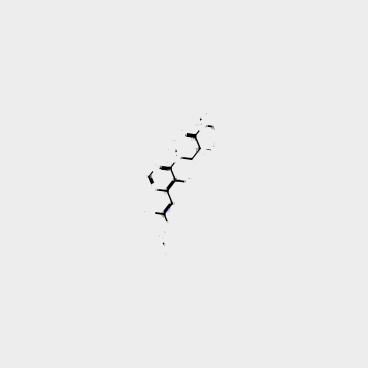 CCNO/C(C)=C/c1ncnc(N(C)C[C@H](C)C(=O)N(C)C)c1C